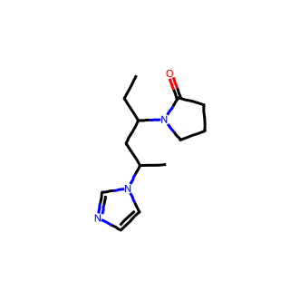 CCC(CC(C)n1ccnc1)N1CCCC1=O